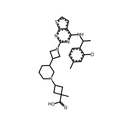 Cc1ccc(C(C)Nc2nc(N3CC(C4CCCN(C5CC(C)(C(=O)O)C5)C4)C3)nc3sccc23)c(Cl)c1